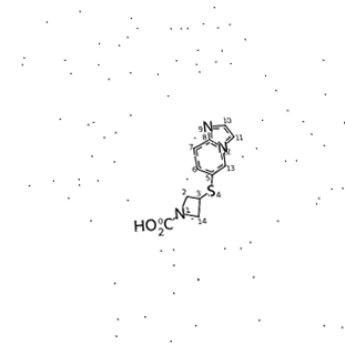 O=C(O)N1CC(Sc2ccc3nccn3c2)C1